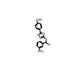 CCC(Sc1nnc(-c2ccc(C=O)cc2)o1)c1cccc([N+](=O)[O-])c1